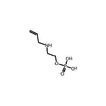 C=CCNCCOP(=O)(O)O